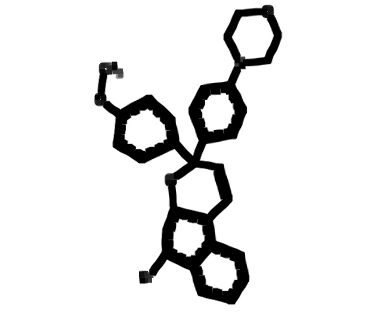 COc1ccc(C2(c3ccc(N4CCOCC4)cc3)C=Cc3c(cc(Br)c4ccccc34)O2)cc1